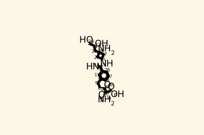 C[C@@](ON)(C(=O)O)[C@H]1CCc2cc(C(=N)N[C@H]3C[C@@](N)(CC(O)CO)C3)ccc2O1